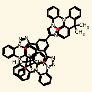 CC1(C)c2ccccc2N(c2ccccc2-n2cc(-c3cc(-c4cn(-c5ccccc5N5c6ccccc6C(C)(C)c6ccccc65)nn4)cc(-c4cn(-c5ccccc5N5c6ccccc6C(C)(C)c6ccccc65)nn4)c3)nn2)c2ccccc21